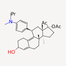 CC(=O)O[C@]1(C(C)=O)CC[C@]2(C)[C@]1(C)C[C@H](c1ccc(N(C)C(C)C)cc1)C1=C3CCC(O)C=C3CC[C@]12C